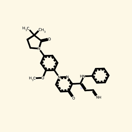 COc1cc(N2CCC(C)(C)C2=O)ccc1-n1ccc(=O)c(/C(=C/C=N)Nc2ccccc2)n1